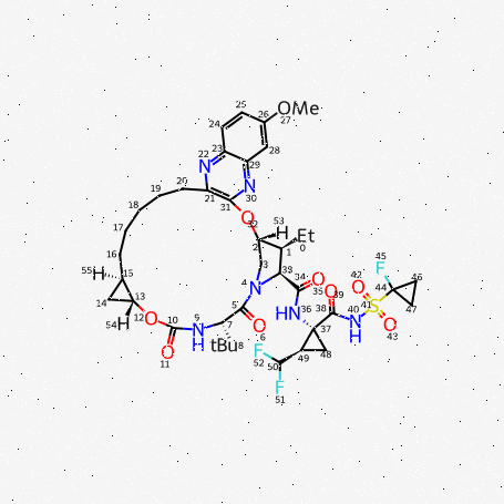 CC[C@@H]1[C@@H]2CN(C(=O)[C@H](C(C)(C)C)NC(=O)O[C@@H]3C[C@H]3CCCCCc3nc4ccc(OC)cc4nc3O2)[C@@H]1C(=O)N[C@]1(C(=O)NS(=O)(=O)C2(F)CC2)C[C@H]1C(F)F